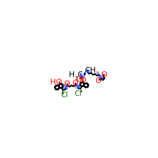 CN(CCCCCCN1C(=O)C=CC1=O)CCN(C)C(=O)Oc1cc2c(c3ccccc13)[C@H](CCl)CN2C(=O)CCCC(=O)N1C[C@@H](CCl)c2c1cc(O)c1ccccc21